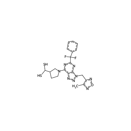 Cc1nonc1Cn1nnc2c(N3CCC(C(S)S)C3)nc(C(F)(F)c3ccccc3)nc21